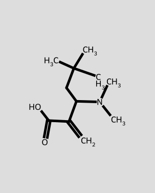 C=C(C(=O)O)C(CC(C)(C)C)N(C)C